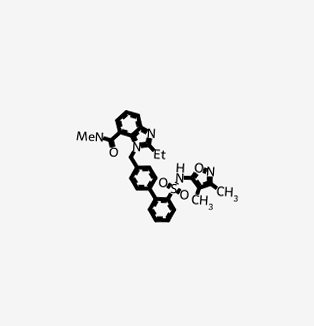 CCc1nc2cccc(C(=O)NC)c2n1Cc1ccc(-c2ccccc2S(=O)(=O)Nc2onc(C)c2C)cc1